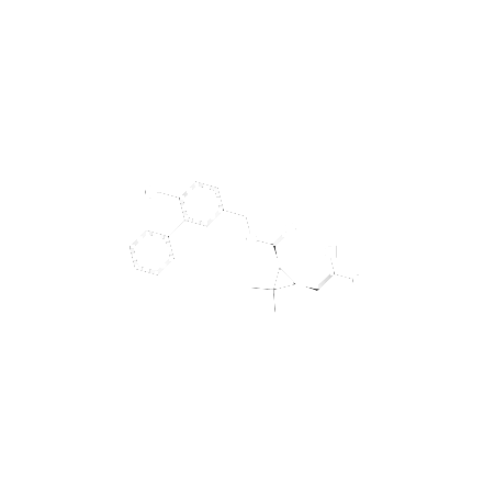 CC1(C)[C@H](C=C(Cl)Cl)[C@@H]1C(=O)OCc1ccc(Cl)c(-c2ccccc2)c1